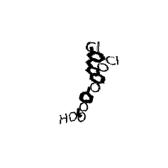 O=C(O)COc1ccc(COc2ccc3c(c2)CC(=Cc2cc(Cl)cc(Cl)c2)C3=O)cc1